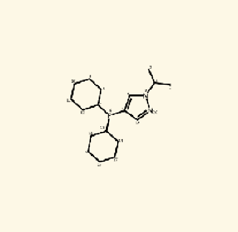 CC(C)n1[c]c(P(C2CCCCC2)C2CCCCC2)cn1